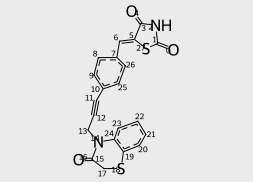 O=C1NC(=O)C(=Cc2ccc(C#CCN3C(=O)CSc4ccccc43)cc2)S1